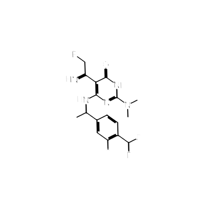 CC(Nc1nc(N(C)C)[nH]c(=O)c1C(=N)CF)c1ccc(C(F)F)c(F)c1